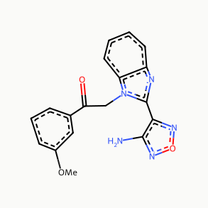 COc1cccc(C(=O)Cn2c(-c3nonc3N)nc3ccccc32)c1